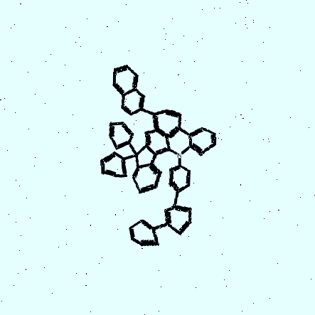 c1ccc(-c2cccc(-c3ccc(N(c4ccccc4-c4ccc(-c5ccc6ccccc6c5)cc4)c4cccc5c4-c4ccccc4C5(c4ccccc4)c4ccccc4)cc3)c2)cc1